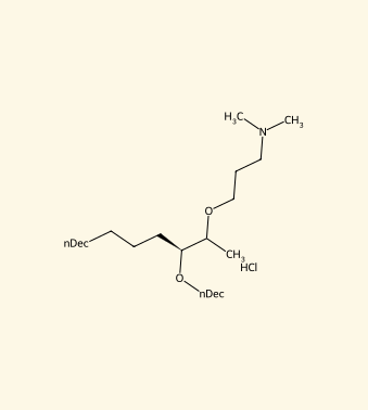 CCCCCCCCCCCCC[C@H](OCCCCCCCCCC)C(C)OCCCN(C)C.Cl